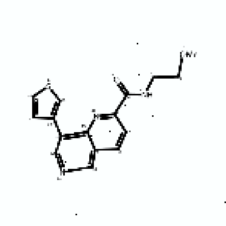 COCCNC(=O)c1ccc2cncc(-c3ccsc3)c2n1